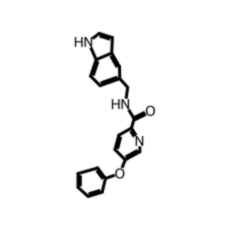 O=C(NCc1ccc2[nH]ccc2c1)c1ccc(Oc2ccccc2)cn1